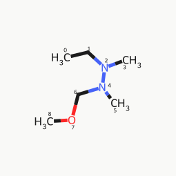 CCN(C)N(C)COC